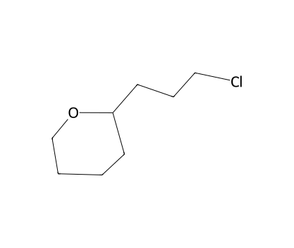 ClCCCC1CCCCO1